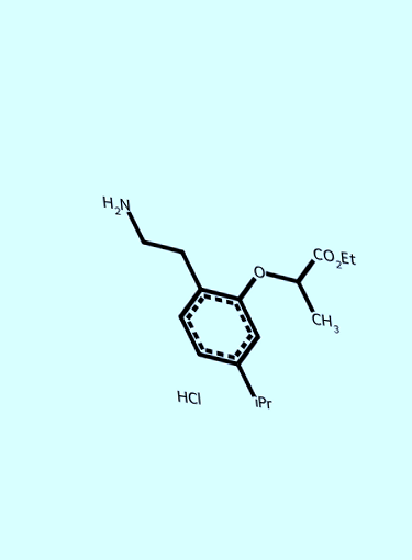 CCOC(=O)C(C)Oc1cc(C(C)C)ccc1CCN.Cl